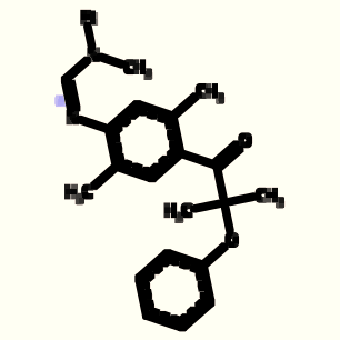 CCN(C)/C=N\c1cc(C)c(C(=O)C(C)(C)Oc2ccccc2)cc1C